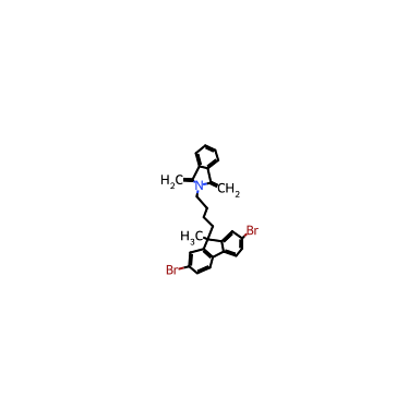 C=c1c2ccccc2c(=C)n1CCCCC1(C)c2cc(Br)ccc2-c2ccc(Br)cc21